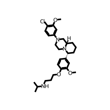 COc1cc(N2CCN3[C@@H](CCC[C@@H]3c3ccc(OCCCNC(C)C)c(OC)c3)C2)ccc1Cl